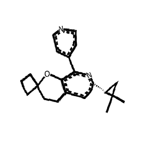 CC1(C)C[C@H]1c1cc2c(c(-c3ccncc3)n1)OC1(CCC1)CC2